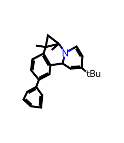 CC(C)(C)C1=CC2c3cc(-c4ccccc4)ccc3C3(C)CC3(C)N2C=C1